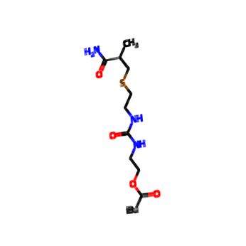 CCC(C)C(=O)OCCNC(=O)NCCSCC(C)C(N)=O